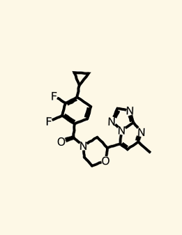 Cc1cc(C2CN(C(=O)c3ccc(C4CC4)c(F)c3F)CCO2)n2ncnc2n1